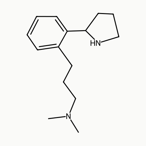 CN(C)CCCc1ccccc1C1CCCN1